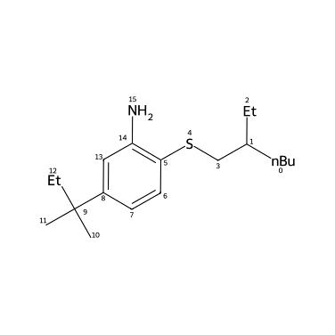 CCCCC(CC)CSc1ccc(C(C)(C)CC)cc1N